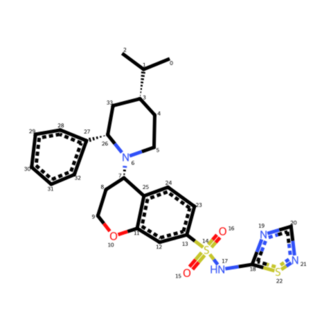 CC(C)[C@@H]1CCN([C@H]2CCOc3cc(S(=O)(=O)Nc4ncns4)ccc32)[C@H](c2ccccc2)C1